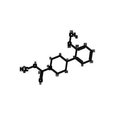 COC(=O)N1CCC(c2ccccc2OC)CC1